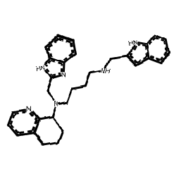 c1cnc2c(c1)CCCC2N(CCCCNCc1cc2ccccc2[nH]1)Cc1nc2ccccc2[nH]1